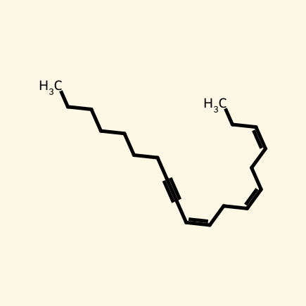 CC/C=C\C/C=C\C/C=C\C#CCCCCCCC